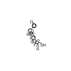 O=c1nc(N[P@]2(=O)OCC[C@@H](c3cccc(Cl)c3)O2)ccn1[C@@H]1O[C@@H](CO)[C@@H](O)C1(F)F